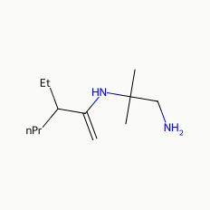 C=C(NC(C)(C)CN)C(CC)CCC